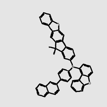 CC1(C)c2cc(N(c3ccc(-c4ccc5ccccc5c4)cc3)c3cccc4oc5ccccc5c34)ccc2-c2cc3sc4ccccc4c3cc21